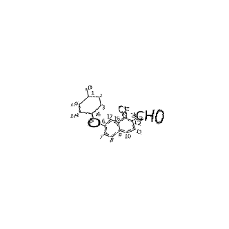 CC1CCC(Oc2ccc3ccc(C=O)c(C(F)(F)F)c3c2)CC1